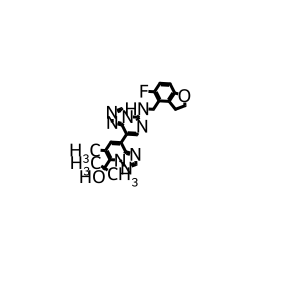 Cc1cc(-c2cnc(NCc3c(F)ccc4c3CCO4)n3cnnc23)c2ncnn2c1C(C)(C)O